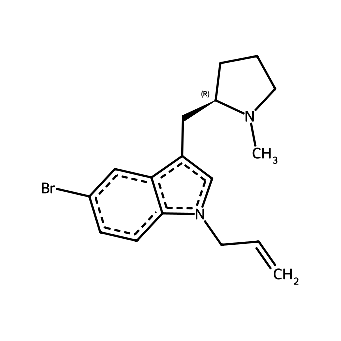 C=CCn1cc(C[C@H]2CCCN2C)c2cc(Br)ccc21